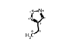 CCc1cnsn1